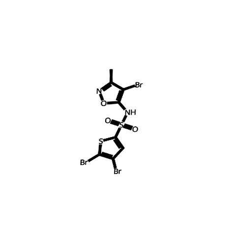 Cc1noc(NS(=O)(=O)c2cc(Br)c(Br)s2)c1Br